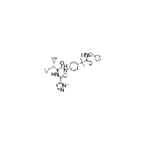 C[C@@H](NC(=O)C(C)(C)c1ccc(NC(=O)[C@@H](NC(=O)c2ccnn2C)C(C2CC2)C2CC2)cc1)C1CCC1